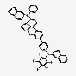 Fc1c(F)c(F)c(N(c2ccc3ccccc3c2)c2ccc(-c3ccc4c(c3)Sc3cccc5c(N(c6ccccc6)c6ccc7ccccc7c6)ccc-4c35)cn2)c(F)c1F